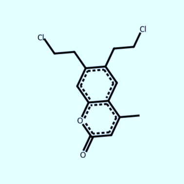 Cc1cc(=O)oc2cc(CCCl)c(CCCl)cc12